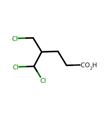 O=C(O)CCC(CCl)C(Cl)Cl